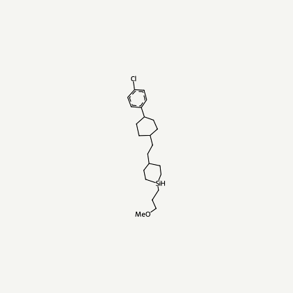 COCCC[SiH]1CCC(CCC2CCC(c3ccc(Cl)cc3)CC2)CC1